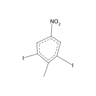 Cc1c(I)cc([N+](=O)[O-])cc1I